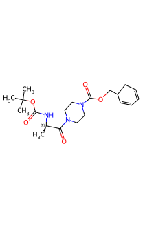 C[C@@H](NC(=O)OC(C)(C)C)C(=O)N1CCN(C(=O)OCC2C=CC=CC2)CC1